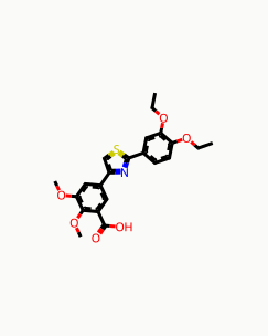 CCOc1ccc(-c2nc(-c3cc(OC)c(OC)c(C(=O)O)c3)cs2)cc1OCC